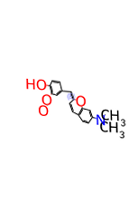 CN(C)c1ccc2c(c1)O/C(=C/c1ccc(O)c(OC=O)c1)C=C2